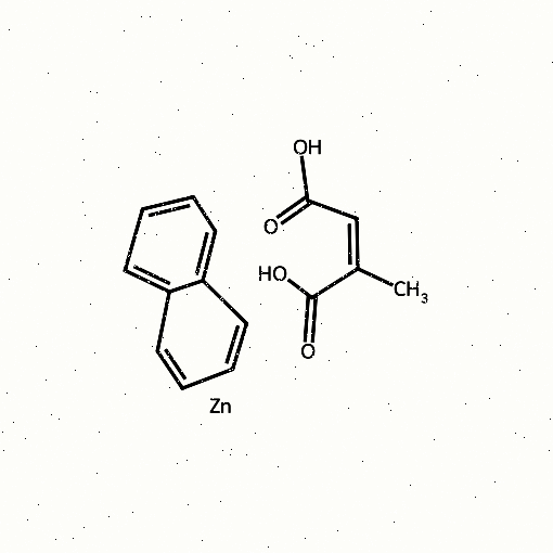 CC(=CC(=O)O)C(=O)O.[Zn].c1ccc2ccccc2c1